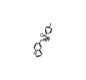 Cc1ccc(S(=O)(=O)NCc2ccc3ncccc3c2)cc1